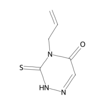 C=CCn1c(=O)cn[nH]c1=S